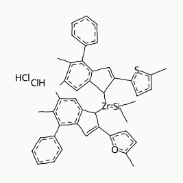 Cc1ccc(C2=Cc3c(cc(C)c(C)c3-c3ccccc3)[CH]2[Zr]([CH]2C(c3ccc(C)s3)=Cc3c2cc(C)c(C)c3-c2ccccc2)=[Si](C)C)o1.Cl.Cl